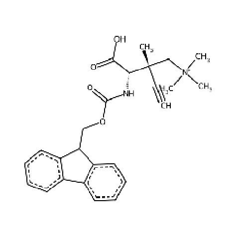 C#C[C@@](C)(C[N+](C)(C)C)[C@H](NC(=O)OCC1c2ccccc2-c2ccccc21)C(=O)O